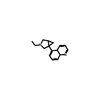 CCN1CC2CC2(C2=CC=CC3N=CC=CC23)C1